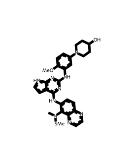 COc1ccc(N2CCC(O)CC2)cc1Nc1nc(Nc2ccc3nccnc3c2N(C)SC)c2cc[nH]c2n1